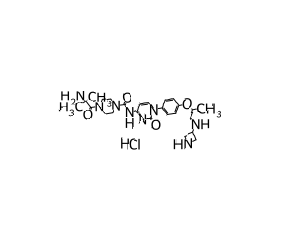 CC(CNC1CNC1)Oc1ccc(-n2ccc(NC(=O)N3CCN(C(=O)C(C)(C)N)CC3)nc2=O)cc1.Cl